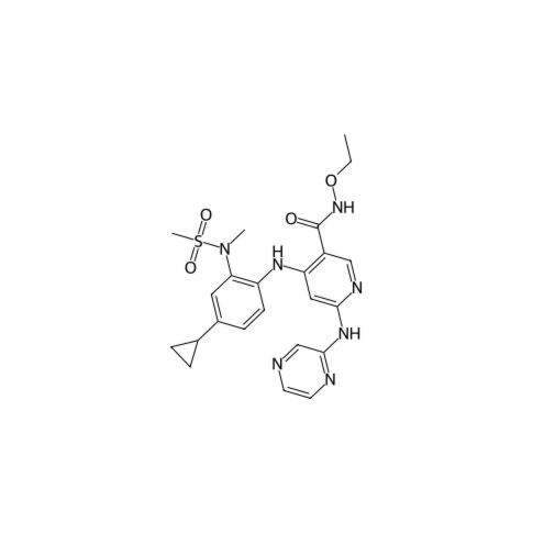 CCONC(=O)c1cnc(Nc2cnccn2)cc1Nc1ccc(C2CC2)cc1N(C)S(C)(=O)=O